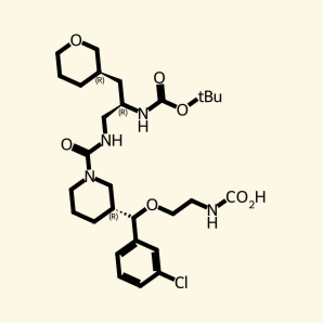 CC(C)(C)OC(=O)N[C@@H](CNC(=O)N1CCC[C@@H](C(OCCNC(=O)O)c2cccc(Cl)c2)C1)C[C@H]1CCCOC1